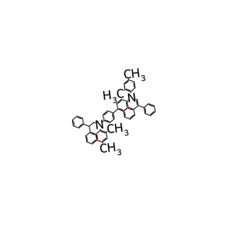 Cc1ccc(N(C=C(c2ccccc2)c2ccccc2)c2ccc(-c3ccc(N(CC(c4ccccc4)c4ccccc4)c4ccc(C)cc4C)cc3)cc2)c(C)c1